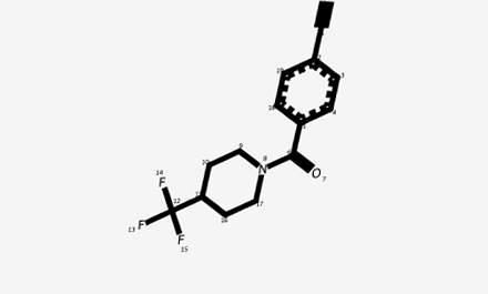 N#Cc1ccc(C(=O)N2CCC(C(F)(F)F)CC2)cc1